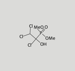 COP(=O)(OC)C(O)(Cl)C(Cl)Cl